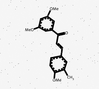 COc1cc(OC)cc(C(=O)C=Cc2ccc(OC)c(C)c2)c1